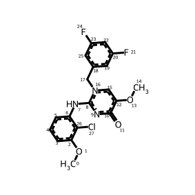 COc1cccc(Nc2nc(=O)c(OC)cn2Cc2cc(F)cc(F)c2)c1Cl